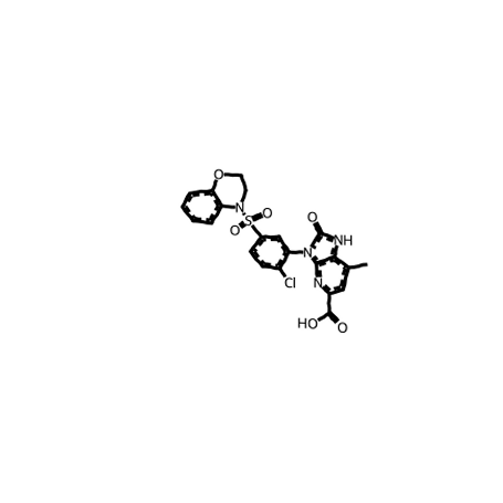 Cc1cc(C(=O)O)nc2c1[nH]c(=O)n2-c1cc(S(=O)(=O)N2CCOc3ccccc32)ccc1Cl